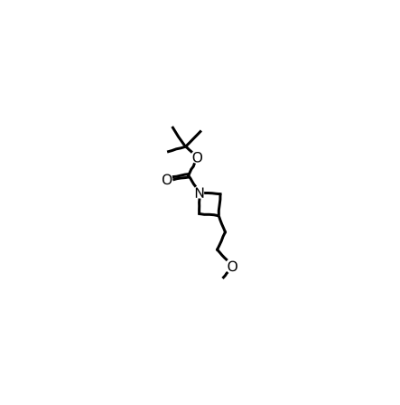 COCCC1CN(C(=O)OC(C)(C)C)C1